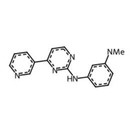 CNc1cccc(Nc2nccc(-c3cccnc3)n2)c1